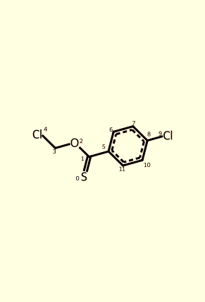 S=C(OCCl)c1ccc(Cl)cc1